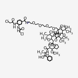 CCC(C)C(C(CC(=O)N1CCCC1C(OC)C(C)C(=O)N[C@@H](C)[C@H](O)c1ccccc1)OC)N(C)C(=O)[C@@H](NC(=O)C(C(C)C)N(C)C(=O)COCCOCCOCCOC/C=N/C(=O)c1ccc(NC(=O)CCl)c(NC(=O)CCl)c1)C(C)C